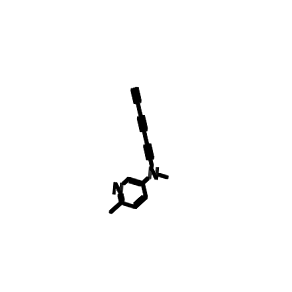 C#CC#CC#CN(C)c1ccc(C)nc1